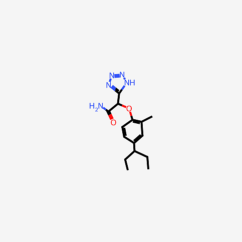 CCC(CC)c1ccc(OC(C(N)=O)c2nnn[nH]2)c(C)c1